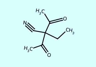 CCC(C#N)(C(C)=O)C(C)=O